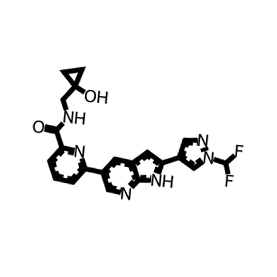 O=C(NCC1(O)CC1)c1cccc(-c2cnc3[nH]c(-c4cnn(C(F)F)c4)cc3c2)n1